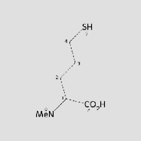 CNC(CCCS)C(=O)O